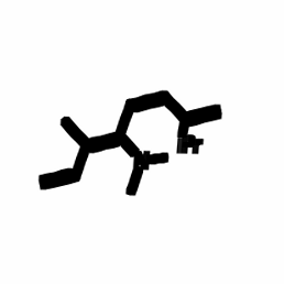 C=C/C(C)=C(/C=C\C(=C)C(C)C)N(C)C